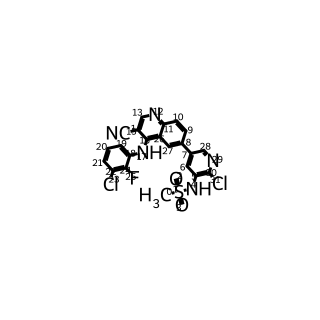 CS(=O)(=O)Nc1cc(-c2ccc3ncc(C#N)c(Nc4cccc(Cl)c4F)c3c2)cnc1Cl